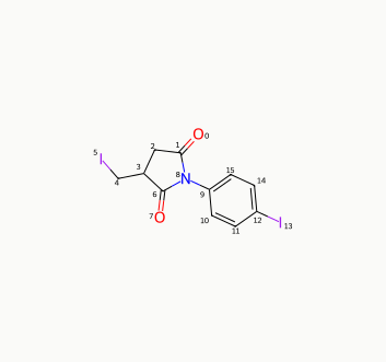 O=C1CC(CI)C(=O)N1c1ccc(I)cc1